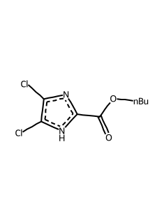 CCCCOC(=O)c1nc(Cl)c(Cl)[nH]1